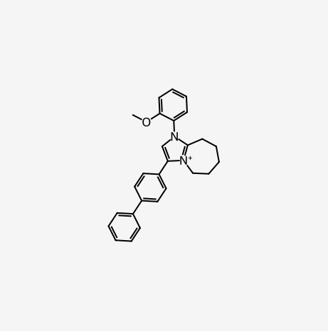 COc1ccccc1-n1cc(-c2ccc(-c3ccccc3)cc2)[n+]2c1CCCCC2